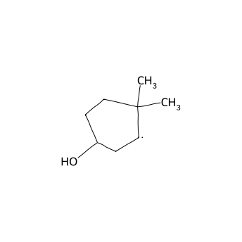 CC1(C)[CH]CC(O)CC1